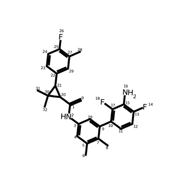 C=C(Nc1cc(C)c(C)c(-c2ccc(F)c(N)c2F)c1)C1C(c2ccc(F)c(C)c2)C1(C)C